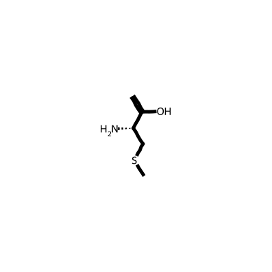 C=C(O)[C@@H](N)CSC